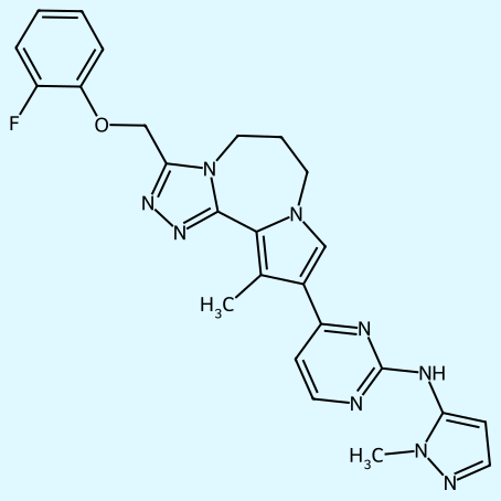 Cc1c(-c2ccnc(Nc3ccnn3C)n2)cn2c1-c1nnc(COc3ccccc3F)n1CCC2